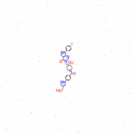 O=C(c1ccc(-n2cc(CO)cn2)cc1)N1CCC(O)(Cn2cnc3c(cnn3-c3ccc(F)cc3)c2=O)CC1